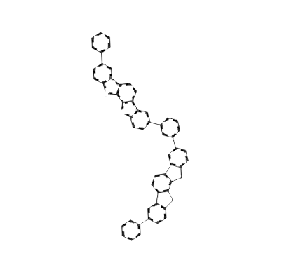 c1ccc(-c2ccc3c(c2)-c2ccc4c(c2C3)Cc2ccc(-c3cccc(-c5ccc6oc7c(ccc8c9cc(-c%10ccccc%10)ccc9oc87)c6c5)c3)cc2-4)cc1